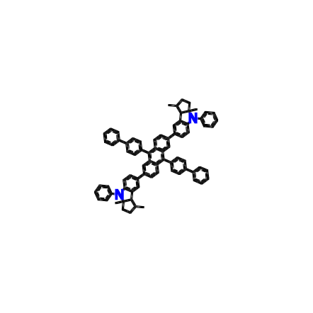 CC1CCC2(C)C1c1cc(-c3ccc4c(-c5ccc(-c6ccccc6)cc5)c5cc(-c6ccc7c(c6)C6C(C)CCC6(C)N7c6ccccc6)ccc5c(-c5ccc(-c6ccccc6)cc5)c4c3)ccc1N2c1ccccc1